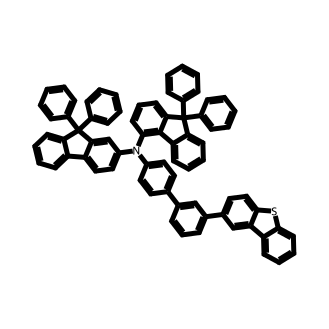 c1ccc(C2(c3ccccc3)c3ccccc3-c3ccc(N(c4ccc(-c5cccc(-c6ccc7sc8ccccc8c7c6)c5)cc4)c4cccc5c4-c4ccccc4C5(c4ccccc4)c4ccccc4)cc32)cc1